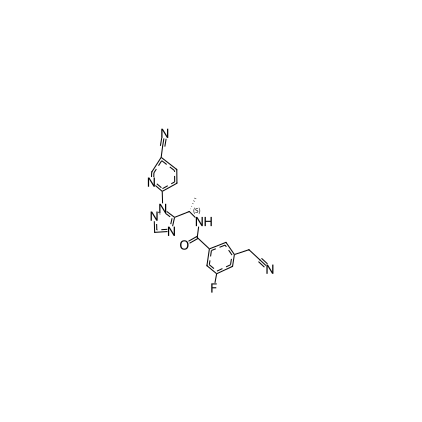 C[C@H](NC(=O)c1cc(F)cc(CC#N)c1)c1ncnn1-c1ccc(C#N)cn1